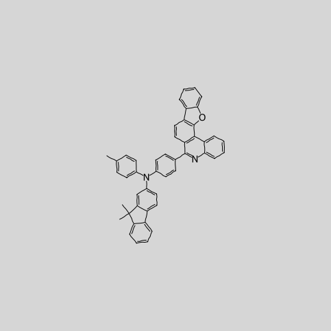 Cc1ccc(N(c2ccc(-c3nc4ccccc4c4c3ccc3c5ccccc5oc34)cc2)c2ccc3c(c2)C(C)(C)c2ccccc2-3)cc1